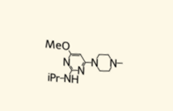 COc1cc(N2CCN(C)CC2)nc(NC(C)C)n1